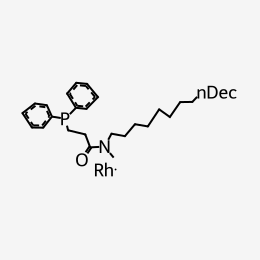 CCCCCCCCCCCCCCCCCCN(C)C(=O)CCP(c1ccccc1)c1ccccc1.[Rh]